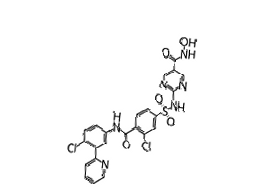 O=C(NO)c1cnc(NS(=O)(=O)c2ccc(C(=O)Nc3ccc(Cl)c(-c4ccccn4)c3)c(Cl)c2)nc1